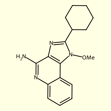 COn1c(C2CCCCC2)nc2c(N)nc3ccccc3c21